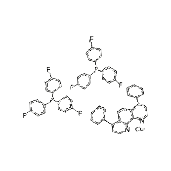 Fc1ccc(P(c2ccc(F)cc2)c2ccc(F)cc2)cc1.Fc1ccc(P(c2ccc(F)cc2)c2ccc(F)cc2)cc1.[Cu].c1ccc(-c2ccnc3c2ccc2c(-c4ccccc4)ccnc23)cc1